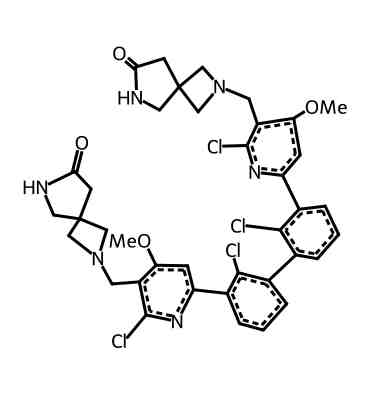 COc1cc(-c2cccc(-c3cccc(-c4cc(OC)c(CN5CC6(CNC(=O)C6)C5)c(Cl)n4)c3Cl)c2Cl)nc(Cl)c1CN1CC2(CNC(=O)C2)C1